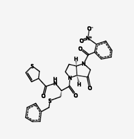 O=C(N[C@@H](CSCc1ccccc1)C(=O)N1CC[C@@H]2[C@H]1C(=O)CN2C(=O)c1ccccc1[N+](=O)[O-])C1C=CSC1